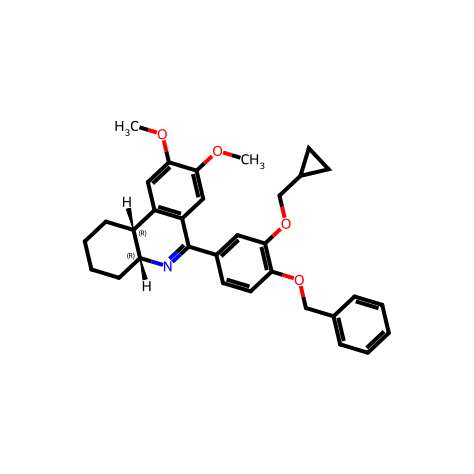 COc1cc2c(cc1OC)[C@H]1CCCC[C@H]1N=C2c1ccc(OCc2ccccc2)c(OCC2CC2)c1